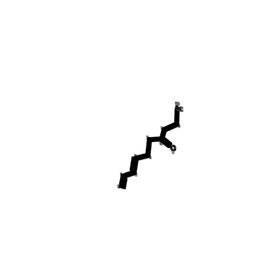 C=CC=CCCC(=O)CCC(C)=O